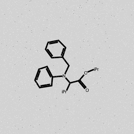 CC(C)OC(=O)C(C(C)C)N(Cc1ccccc1)c1ccccc1